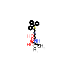 CCC(C)C(NC(=O)CC(O)/C=C/CCSC(c1ccccc1)(c1ccccc1)c1ccccc1)C(=O)O